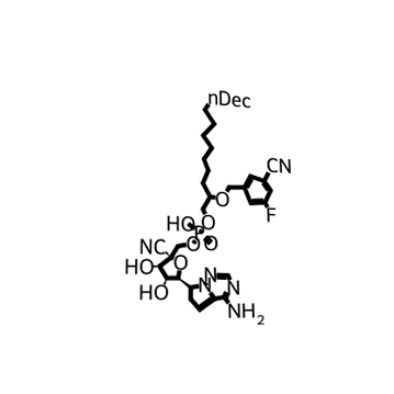 CCCCCCCCCCCCCCCCCC(COP(=O)(O)OC[C@@]1(C#N)O[C@@H](C2CC=C3C(N)=NC=NN32)[C@H](O)[C@@H]1O)OCc1cc(F)cc(C#N)c1